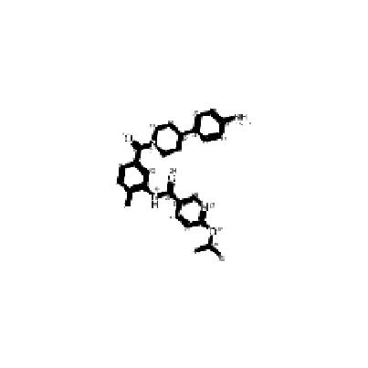 Cc1ccc(C(=O)N2CCC(c3ccc(N)cc3)CC2)cc1NC(=O)c1ccc(OC(C)C)nc1